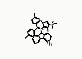 CC1=[C]([Zr+2](=[C](c2ccc(C)cc2)c2ccc(C)cc2)[CH]2c3ccccc3-c3ccccc32)C(C)C=C1[Si](C)(C)C.[Cl-].[Cl-]